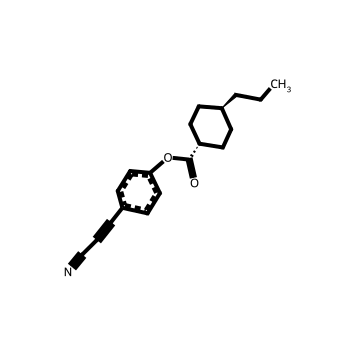 CCC[C@H]1CC[C@H](C(=O)Oc2ccc(C#CC#N)cc2)CC1